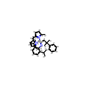 Cc1ccc(C)[n]1[Mo](=[CH]C(C)(C)c1ccccc1)(=[N]c1c(C(C)C)cccc1C(C)C)[n]1c(C)ccc1C